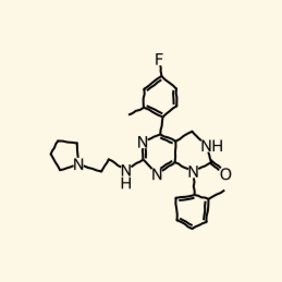 Cc1cc(F)ccc1-c1nc(NCCN2CCCC2)nc2c1CNC(=O)N2c1ccccc1C